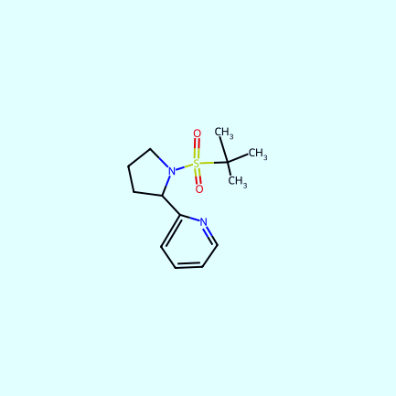 CC(C)(C)S(=O)(=O)N1CCCC1c1ccccn1